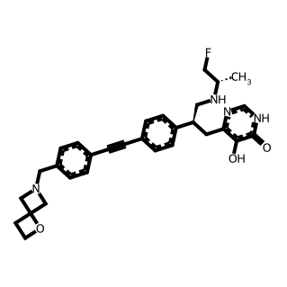 C[C@@H](CF)NC[C@@H](Cc1nc[nH]c(=O)c1O)c1ccc(C#Cc2ccc(CN3CC4(CCO4)C3)cc2)cc1